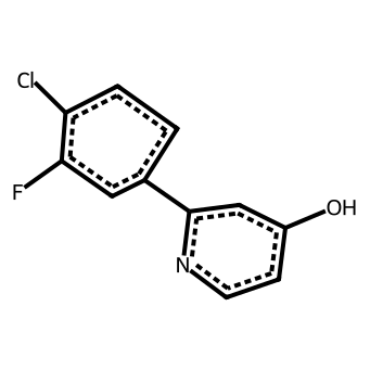 Oc1ccnc(-c2ccc(Cl)c(F)c2)c1